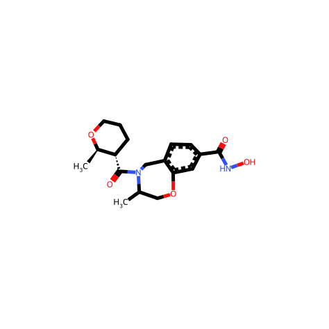 CC1COc2cc(C(=O)NO)ccc2CN1C(=O)[C@H]1CCCO[C@@H]1C